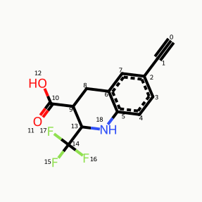 C#Cc1ccc2c(c1)CC(C(=O)O)C(C(F)(F)F)N2